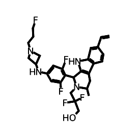 C=Cc1ccc2c3c([nH]c2c1)C(c1c(F)cc(NC2CN(CCCF)C2)cc1F)N(CC(F)(F)CO)C(C)C3